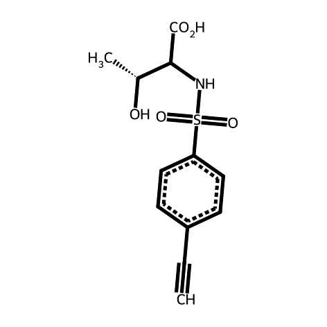 C#Cc1ccc(S(=O)(=O)NC(C(=O)O)[C@@H](C)O)cc1